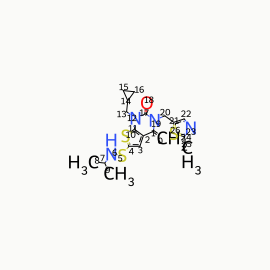 C=C1c2cc(SNC(C)C)sc2N(CC2CC2)C(=O)N1Cc1cnc(C)s1